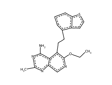 CCOc1ncc2nc(C)nc(N)c2c1CCc1cccc2sccc12